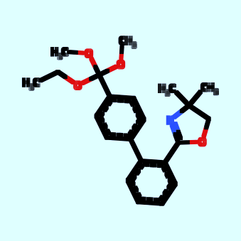 CCOC(OC)(OC)c1ccc(-c2ccccc2C2=NC(C)(C)CO2)cc1